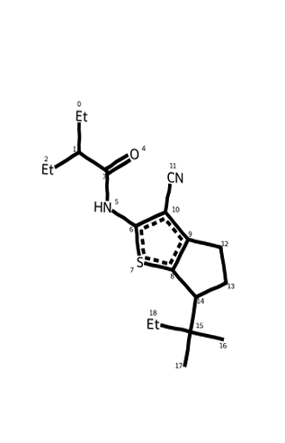 CCC(CC)C(=O)Nc1sc2c(c1C#N)CCC2C(C)(C)CC